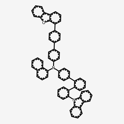 c1ccc(-c2ccccc2-n2c3ccccc3c3ccccc32)c(-c2ccc(N(c3ccc(-c4ccc(-c5cccc6c5oc5ccccc56)cc4)cc3)c3cccc4ccccc34)cc2)c1